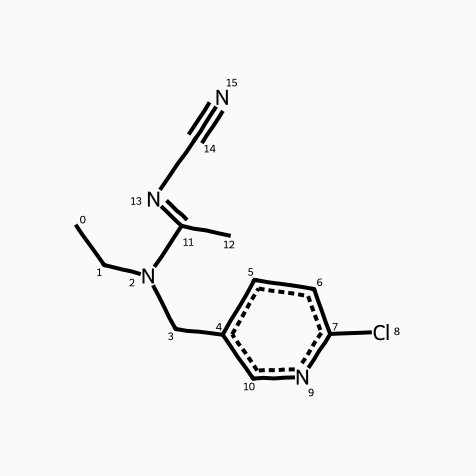 CCN(Cc1ccc(Cl)nc1)/C(C)=N/C#N